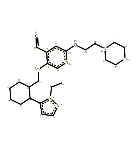 CCn1nccc1C1CCCCC1COc1cnc(OCCN2CCOCC2)cc1C=O